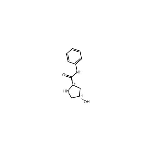 O=C(Nc1ccccc1)[C@H]1C[C@H](O)CN1